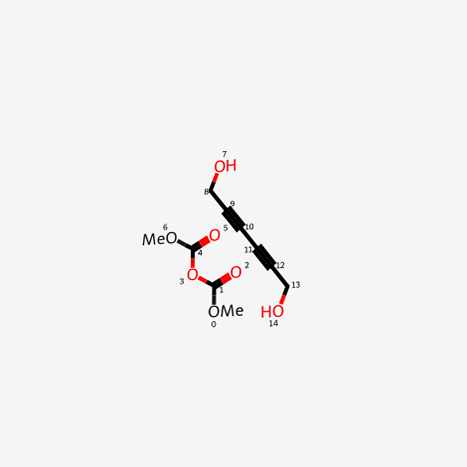 COC(=O)OC(=O)OC.OCC#CC#CCO